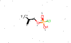 C=C(COP(=O)(O)Cl)C(F)(F)F